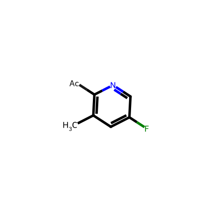 CC(=O)c1ncc(F)cc1C